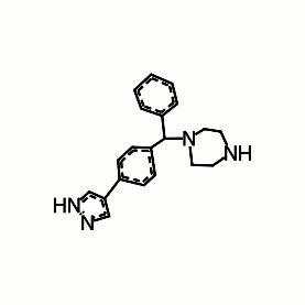 c1ccc(C(c2ccc(-c3cn[nH]c3)cc2)N2CCNCC2)cc1